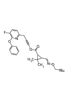 CC(C)(C)CON=CC1C(C(=O)OC#CCc2ccc(F)c(Oc3ccccc3)n2)C1(C)C